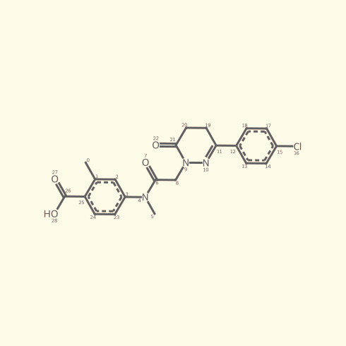 Cc1cc(N(C)C(=O)CN2N=C(c3ccc(Cl)cc3)CCC2=O)ccc1C(=O)O